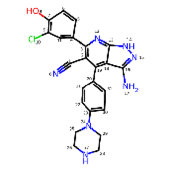 N#Cc1c(-c2ccc(O)c(Cl)c2)nc2[nH]nc(N)c2c1-c1ccc(N2CCNCC2)cc1